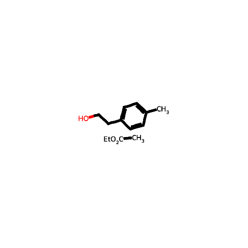 CCOC(C)=O.Cc1ccc(CCO)cc1